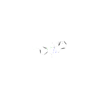 CC(c1ccc(Cl)cc1)N1Cc2ccccc2C1(Cl)C=O